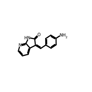 Nc1ccc(C=C2C(=O)Nc3ncccc32)cc1